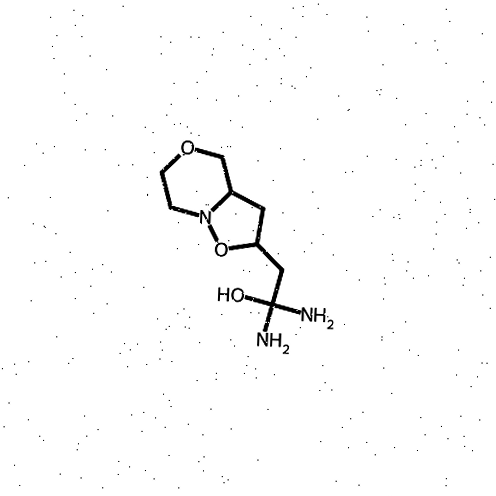 NC(N)(O)CC1CC2COCCN2O1